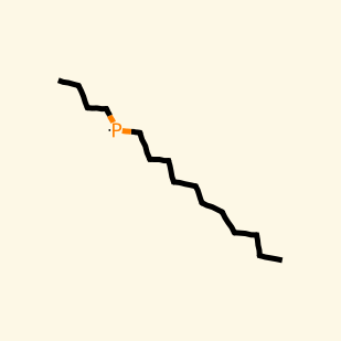 CCCCCCCCCCC[P]CCCC